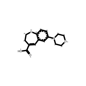 O=C(O)C1=Cc2cc(N3CCOCC3)ccc2OCC1